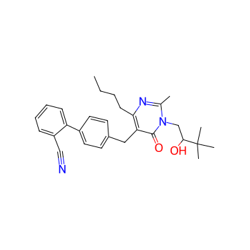 CCCCc1nc(C)n(CC(O)C(C)(C)C)c(=O)c1Cc1ccc(-c2ccccc2C#N)cc1